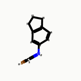 S=C=Nc1ccc2c(c1)CCC2